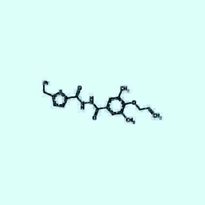 C=CCOc1c(C)cc(C(=O)NNC(=O)c2ccc(CC(C)C)s2)cc1C